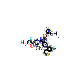 C=C(F)C(=O)N1CCN(c2nc(OC[C@@H]3CCCN3C)nc3c2CCN(c2cc(F)cc4c2CCCS4)C3)C[C@@H]1CC#N